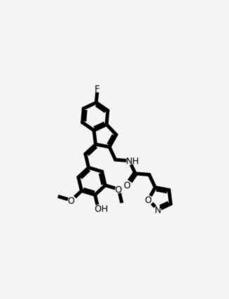 COc1cc(C=C2C(CNC(=O)Cc3ccno3)=Cc3cc(F)ccc32)cc(OC)c1O